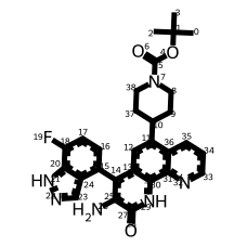 CC(C)(C)OC(=O)N1CCC(c2cc3c(-c4ccc(F)c5[nH]ncc45)c(N)c(=O)[nH]c3c3ncccc23)CC1